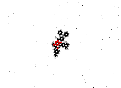 Cc1cc(C)c2c(c1)C(CCc1c(C)cc(C(C)(C)C)cc1C)c1cc3c(cc1B2c1ccc(N(c2ccccc2)c2ccccc2)cc1C(C)c1cc2c(cc1C)C(C)(C)CC2(C)C)C(C)(C)CC3(C)C